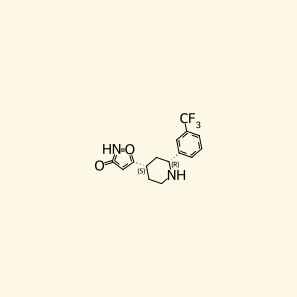 O=c1cc([C@H]2CCN[C@@H](c3cccc(C(F)(F)F)c3)C2)o[nH]1